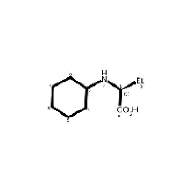 CC[C@H](NC1CCCCC1)C(=O)O